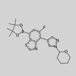 CC1(C)OB(c2cc(F)c(-c3cnn(C4CCCCO4)c3)c3ncsc23)OC1(C)C